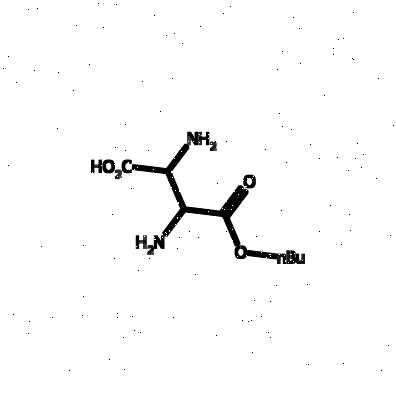 CCCCOC(=O)C(N)C(N)C(=O)O